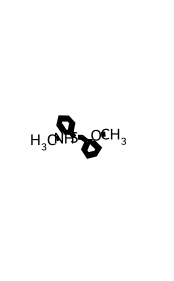 CNc1ccccc1SCc1ccccc1OC